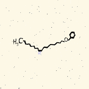 CCCCCCCC/C=C\CCCCCCCCOCc1ccccc1